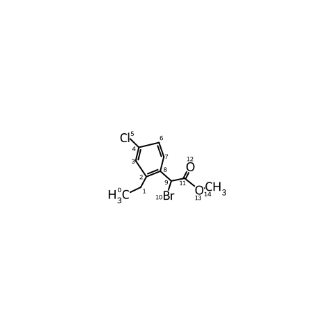 CCc1cc(Cl)ccc1C(Br)C(=O)OC